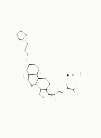 CC(C)[C@@H](CC[C@@H](C)[C@H]1CCC2C3C(CC[C@@]21C)[C@@]1(C)CC[C@H](NCCCN2CCCC2)C[C@H]1C[C@@H]3O)OS(=O)(=O)O